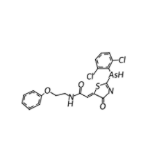 O=C(C=C1SC([AsH]c2c(Cl)cccc2Cl)=NC1=O)NCCOc1ccccc1